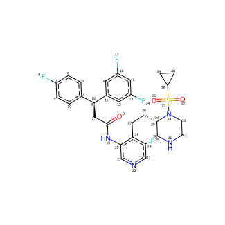 O=C(C[C@@H](c1ccc(F)cc1)c1cc(F)cc(F)c1)Nc1cncc(F)c1CC[C@H]1CNCCN1S(=O)(=O)C1CC1